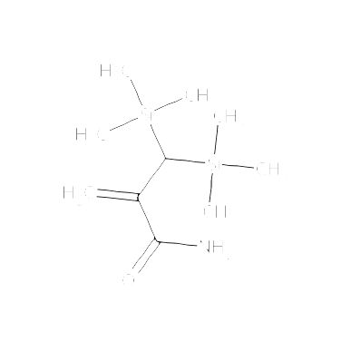 C=C(C(N)=O)C([Si](C)(C)C)[Si](C)(C)C